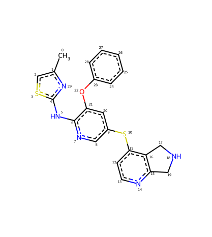 Cc1csc(Nc2ncc(Sc3ccnc4c3CNC4)cc2Oc2ccccc2)n1